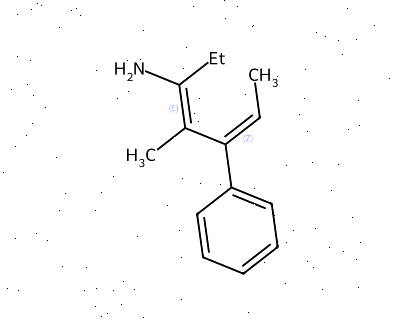 C/C=C(\C(C)=C(\N)CC)c1ccccc1